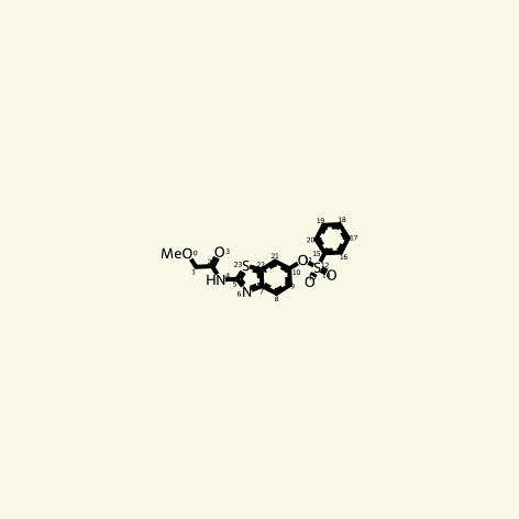 COCC(=O)Nc1nc2ccc(OS(=O)(=O)c3ccccc3)cc2s1